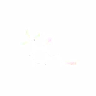 OC[CH]c1cccc(C(F)(F)F)c1Br